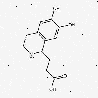 O=C(O)CCC1NCCc2cc(O)c(O)cc21